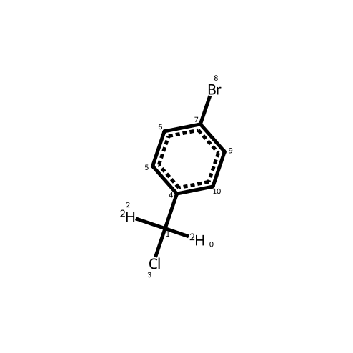 [2H]C([2H])(Cl)c1ccc(Br)cc1